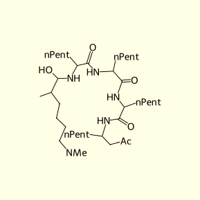 CCCCCC(CC(C)=O)NC(=O)C(CCCCC)NC(=O)C(CCCCC)NC(=O)C(CCCCC)NC(O)C(C)CCCCNC